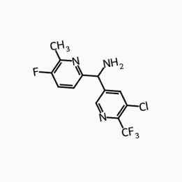 Cc1nc(C(N)c2cnc(C(F)(F)F)c(Cl)c2)ccc1F